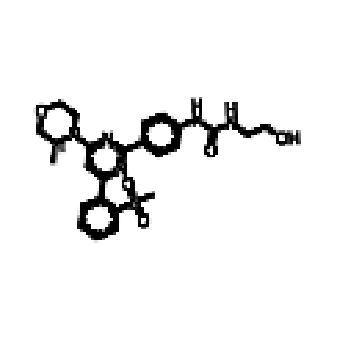 C[C@H]1COCCN1c1cc(-c2ccccc2S(C)(=O)=O)nc(-c2ccc(NC(=O)NCCO)cc2)n1